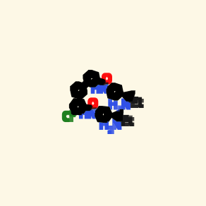 CC[C@]1(N)C[C@H]1c1ccc(NC(=O)c2cccc(-c3ccccc3)c2)cc1.CC[C@]1(N)C[C@H]1c1ccc(NC(=O)c2cccc(Cl)c2)cc1